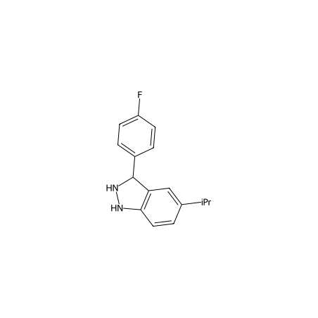 CC(C)c1ccc2c(c1)C(c1ccc(F)cc1)NN2